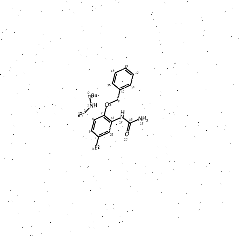 CCCCNC(C)C.CCc1ccc(OCc2ccccc2)c(NC(N)=O)c1